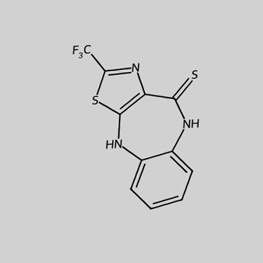 FC(F)(F)c1nc2c(s1)Nc1ccccc1NC2=S